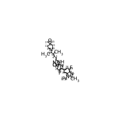 C=N/C(=C\C=C(/C)[C@@H](C)N1CCC2(CC1)COC2)Nc1ncc(F)c(-c2cc(F)c3nc(C)n(C(C)C)c3c2)n1